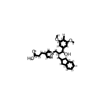 COc1cc([C@@H](O)[C@@H](CC2Cc3ccccc3C2)Cn2cc(CCC(=O)O)cn2)cc(OC)c1C